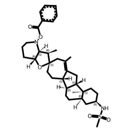 CC1=C2C[C@H]3[C@@H](CC[C@@H]4C[C@H](NS(C)(=O)=O)CC[C@@]43C)[C@@H]2CC[C@@]2(C1)O[C@@H]1CCCN(OC(=O)c3ccccc3)[C@H]1[C@H]2C